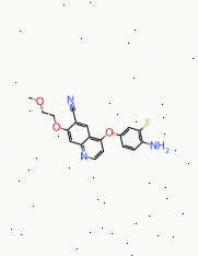 COCCOc1cc2nccc(Oc3ccc(N)c(F)c3)c2cc1C#N